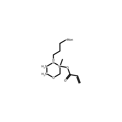 C=CC(=O)O[Si]1(C)CO[SiH2][SiH2][SiH]1CCCCCCCCCCCC